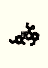 CCC(=O)N(O)c1cccc(CC)c1COc1ccc(CC)cc1C